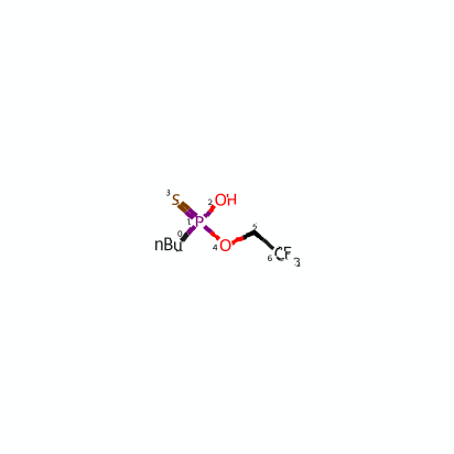 CCCCP(O)(=S)OCC(F)(F)F